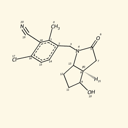 Cc1c(CN2C(=O)C[C@H]3C(O)CCC32)ccc(Cl)c1C#N